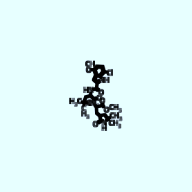 COC(=O)C(CC1CC(C)(C)NC1=O)NC(=O)C(CC(C)(C)C)NC(=O)c1cc2c(OC)ccc(Cl)c2[nH]1